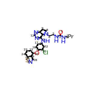 CC(C)NC(=O)NCCn1ccc2ncnc(Nc3ccc(Oc4cccc5sncc45)c(Cl)c3)c21